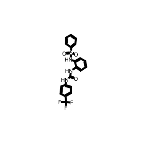 O=C(Nc1ccc(C(F)(F)F)cc1)Nc1ccccc1NS(=O)(=O)c1ccccc1